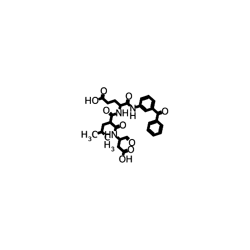 CC(C)CC(C(=O)NC(C=O)CC(=O)O)C(=O)NC(CCC(=O)O)C(=O)Nc1cccc(C(=O)c2ccccc2)c1